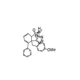 COc1ccc(CC2(c3nnn[nH]3)C(c3ccccc3)=CC=CC2S(N)(=O)=O)cc1